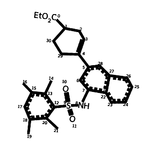 CCOC(=O)C1CC=C(c2cc(NS(=O)(=O)c3c(C)c(C)cc(C)c3C)c3ccccc3c2)CC1